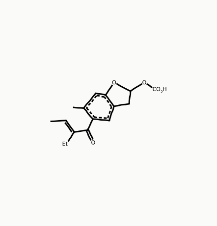 CC=C(CC)C(=O)c1cc2c(cc1C)OC(OC(=O)O)C2